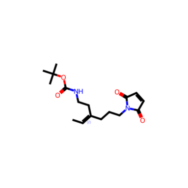 C/C=C(/CCCN1C(=O)C=CC1=O)CCNC(=O)OC(C)(C)C